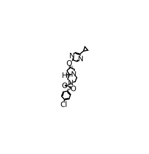 O=S(=O)(c1ccc(Cl)cc1)N1CCN2C[C@H](Oc3cnc(C4CC4)cn3)C[C@H]2C1